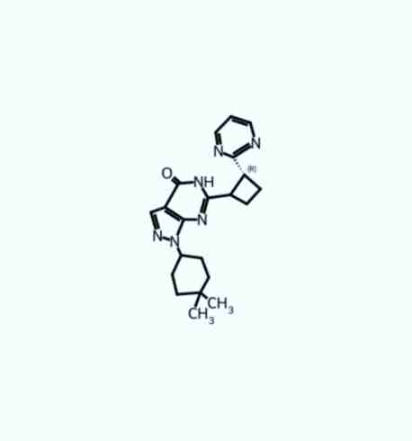 CC1(C)CCC(n2ncc3c(=O)[nH]c(C4CC[C@H]4c4ncccn4)nc32)CC1